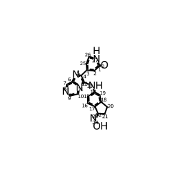 O=c1cc(-c2nc3cnccn3c2Nc2ccc3c(c2)CC/C3=N\O)cc[nH]1